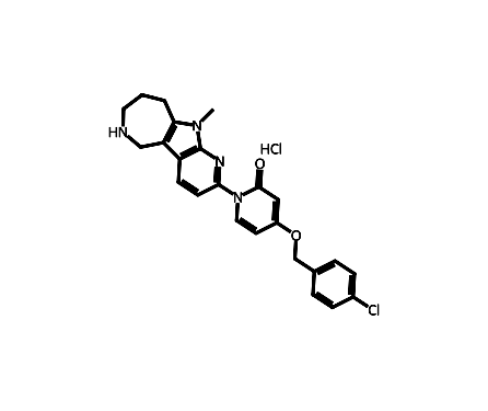 Cl.Cn1c2c(c3ccc(-n4ccc(OCc5ccc(Cl)cc5)cc4=O)nc31)CNCCC2